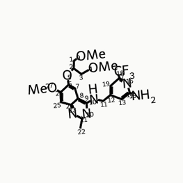 COCC(COC)Oc1cc2c(NCc3cc(N)nc(C(F)(F)F)c3)nc(C)nc2cc1OC